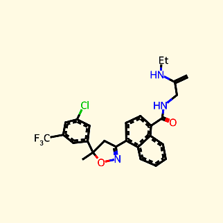 C=C(CNC(=O)c1ccc(C2=NOC(C)(c3cc(Cl)cc(C(F)(F)F)c3)C2)c2ccccc12)NCC